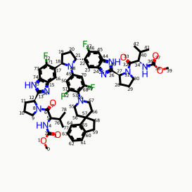 COC(=O)NC(C(=O)N1CCC[C@H]1c1nc2cc([C@H]3CC[C@H](c4cc5nc([C@@H]6CCCN6C(=O)[C@@H](NC(=O)OC)C(C)C)[nH]c5cc4F)N3c3cc(F)c(N4CCC5(CCc6ccccc65)CC4)c(F)c3)c(F)cc2[nH]1)C(C)C